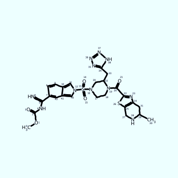 COC(=O)NC(=N)c1ccc2cn(S(=O)(=O)N3CCN(C(=O)c4nc5c(s4)CNC(C)C5)C(Cc4nnn[nH]4)C3)cc2c1